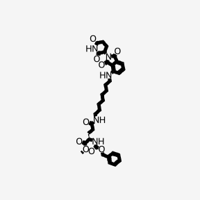 COC(=O)[C@H](CCC(=O)NCCCCCCCCNc1cccc2c1C(=O)N(C1CCC(=O)NC1=O)C2=O)NC(=O)OCc1ccccc1